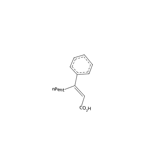 CCCCCC(=CC(=O)O)c1ccccc1